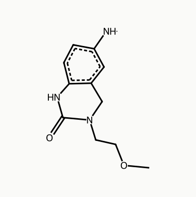 COCCN1Cc2cc([NH])ccc2NC1=O